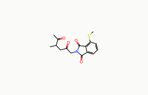 CSc1cccc2c1C(=O)N(CC(=O)CC(C)C(C)=O)C2=O